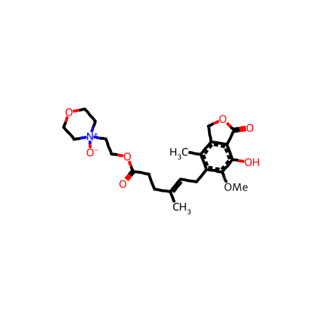 COc1c(O)c2c(c(C)c1C/C=C(\C)CCC(=O)OCC[N+]1([O-])CCOCC1)COC2=O